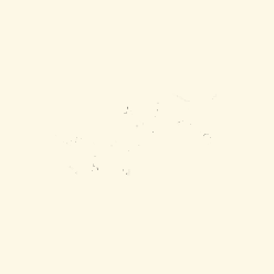 COc1cc2c(cc1O)CCN1C[C@@H](c3cc(C)ccn3)[C@@H](N)C[C@H]21